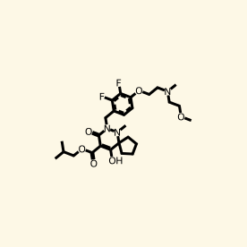 COCCN(C)CCOc1ccc(CN2C(=O)C(C(=O)OCC(C)C)=C(O)C3(CCCC3)N2C)c(F)c1F